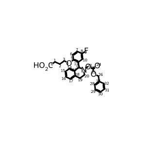 O=C(O)CCCOc1ccc(F)cc1C1c2ccccc2CCN1OC(=O)OCc1ccccc1